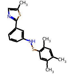 Cc1cnc(-c2cccc(NSc3cc(C)c(C)cc3C)c2)s1